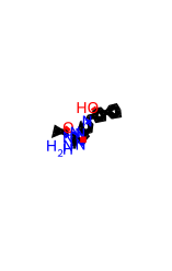 N#CCC1(n2cc(CN)c(NC(=O)C3CC3)n2)CCN(Cc2ccc(-c3ccccc3)cc2O)CC1